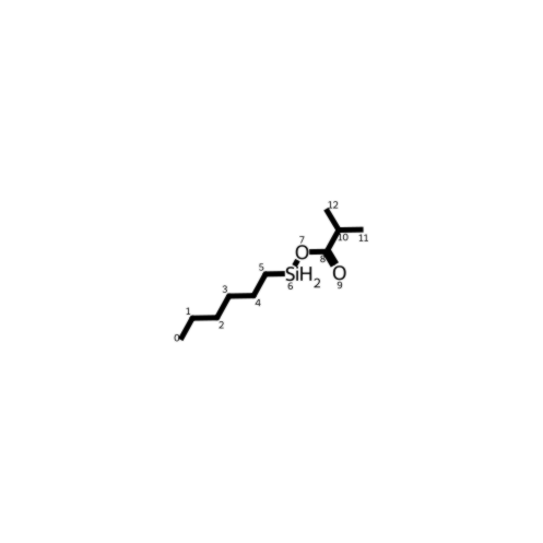 CCCCCC[SiH2]OC(=O)C(C)C